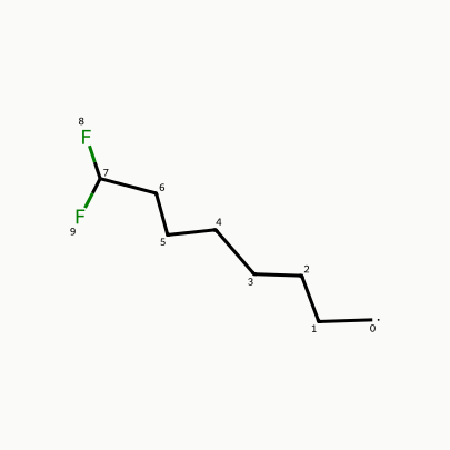 [CH2]CCCCCCC(F)F